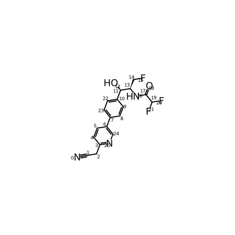 N#CCc1ccc(-c2ccc([C@@H](O)[C@@H](CF)NC(=O)C(F)F)cc2)cn1